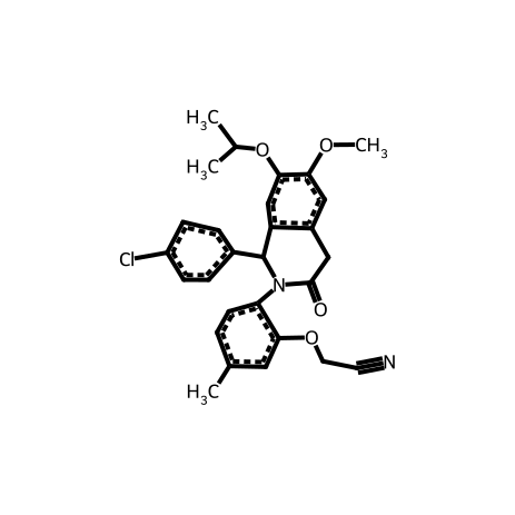 COc1cc2c(cc1OC(C)C)C(c1ccc(Cl)cc1)N(c1ccc(C)cc1OCC#N)C(=O)C2